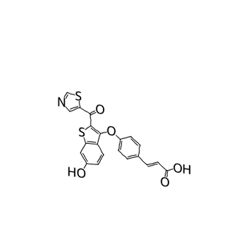 O=C(O)/C=C/c1ccc(Oc2c(C(=O)c3cncs3)sc3cc(O)ccc23)cc1